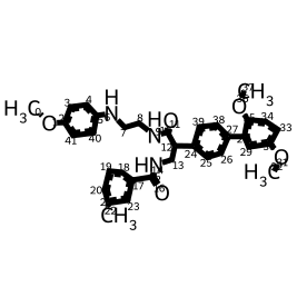 COc1ccc(NCCNC(=O)C(CNC(=O)c2cccc(C)c2)c2ccc(-c3cc(OC)ccc3OC)cc2)cc1